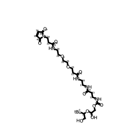 CC(C)(C)C(CO)OC(O)COC(=O)NCCC(=O)NCCNC(=O)CCOCCOCCNC(=O)CCN1C(=O)C=CC1=O